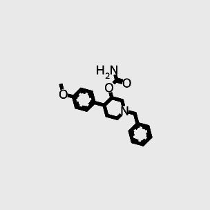 COc1ccc(C2CCN(Cc3ccccc3)CC2OC(N)=O)cc1